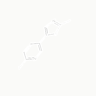 Cc1ncc(-c2ccc(F)nc2)s1